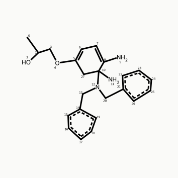 CC(O)COC1=CC=C(N)C(N)(N(Cc2ccccc2)Cc2ccccc2)C1